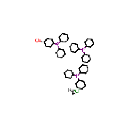 C1CCC(P(C2CCCCC2)C2CCCCC2)CC1.C1CCC(P(C2CCCCC2)C2CCCCC2)CC1.C1CCC(P(C2CCCCC2)C2CCCCC2)CC1.[C]=O.[Cl][Ru].[H-]